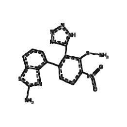 NSc1c([SH](=O)=O)ccc(-c2cccc3sc(N)nc23)c1-c1nnn[nH]1